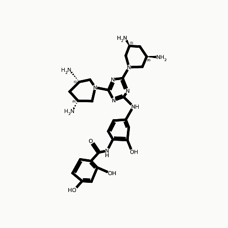 N[C@@H]1C[C@H](N)CN(c2nc(Nc3ccc(NC(=O)c4ccc(O)cc4O)c(O)c3)nc(N3C[C@H](N)C[C@H](N)C3)n2)C1